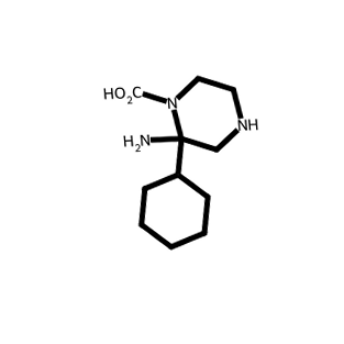 NC1(C2CCCCC2)CNCCN1C(=O)O